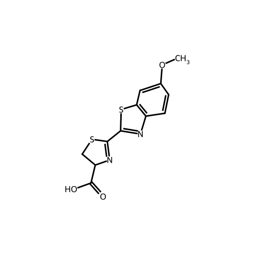 COc1ccc2nc(C3=NC(C(=O)O)CS3)sc2c1